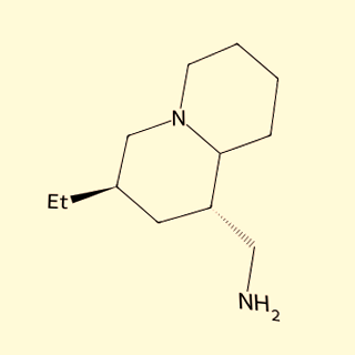 CC[C@@H]1C[C@@H](CN)C2CCCCN2C1